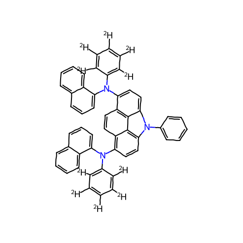 [2H]c1c([2H])c([2H])c(N(c2cccc3ccccc23)c2ccc3c4c2ccc2c(N(c5c([2H])c([2H])c([2H])c([2H])c5[2H])c5cccc6ccccc56)ccc(c24)n3-c2ccccc2)c([2H])c1[2H]